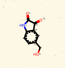 O=C1Nc2ccc(CO)cc2C1=O